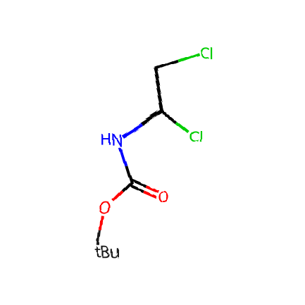 CC(C)(C)OC(=O)NC(Cl)CCl